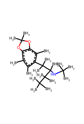 Bc1c(B)c(C(B)(B)C(B)(NC(B)(B)B)C(B)(B)C(B)(B)B)c(B)c2c1OC(B)(B)O2